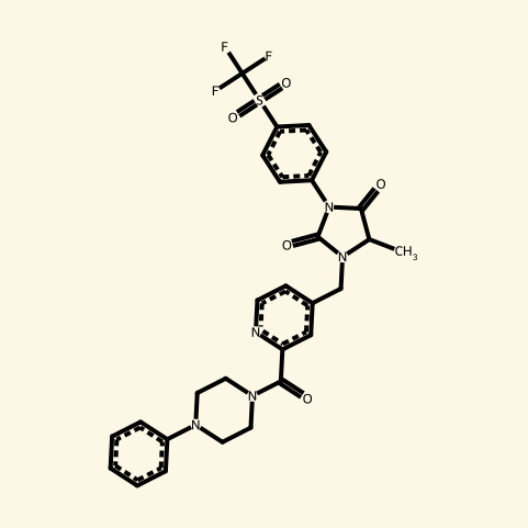 CC1C(=O)N(c2ccc(S(=O)(=O)C(F)(F)F)cc2)C(=O)N1Cc1ccnc(C(=O)N2CCN(c3ccccc3)CC2)c1